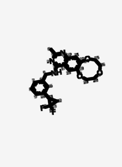 Cc1nc(NCc2cccc(C3CC3(F)F)c2)c2cc3c(cc2n1)OCCOCCO3